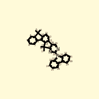 CC1(C)c2ccccc2-c2c1ccc1c2C(C)(C)c2nc(-n3c4ccccc4c4ccccc43)ncc2-1